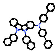 c1ccc(-c2ccc(N(c3ccc(-c4ccccc4)cc3)c3ccc4c5c6ccccc6n(-c6ccc7ccccc7c6)c5n(-c5ccc6ccccc6c5)c4c3)cc2)cc1